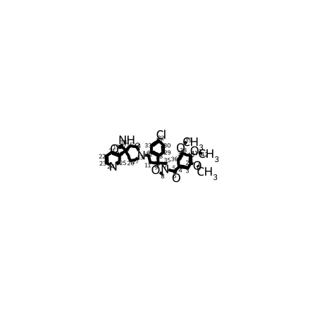 COc1cc(C(=O)N2COC(CCN3CCC(C(N)=O)(c4cccnc4)CC3)(c3ccc(Cl)cc3)C2)cc(OC)c1OC